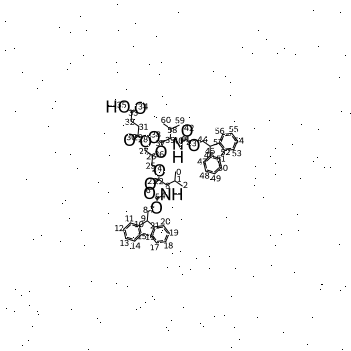 CC(C)[C@H](NC(=O)OCC1c2ccccc2-c2ccccc21)C(=O)OCC(COC(=O)CCC(=O)O)OC(=O)[C@@H](NC(=O)OCC1c2ccccc2-c2ccccc21)C(C)C